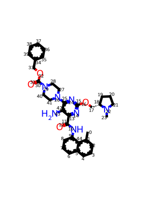 Cc1cccc2cccc(NC(=O)c3nc(OC[C@@H]4CCCN4C)nc(N4CCN(C(=O)OCc5ccccc5)CC4)c3N)c12